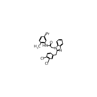 Cc1ccc(C(C)C)cc1NC(=O)Cn1c(Cc2ccc(Cl)c(Cl)c2)nc2ccccc21